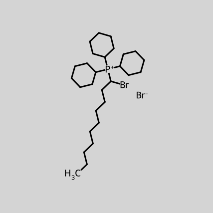 CCCCCCCCCC(Br)[P+](C1CCCCC1)(C1CCCCC1)C1CCCCC1.[Br-]